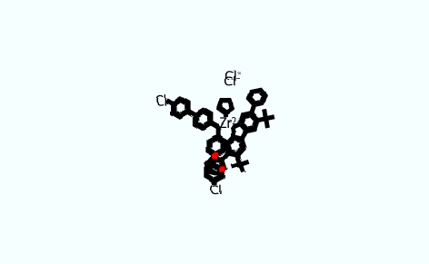 CC(C)(C)c1cc2c(cc1-c1ccccc1)[CH]([Zr+2]([C]1=CC=CC1)=[C](c1ccc(-c3ccc(Cl)cc3)cc1)c1ccc(-c3ccc(Cl)cc3)cc1)c1cc(-c3ccccc3)c(C(C)(C)C)cc1-2.[Cl-].[Cl-]